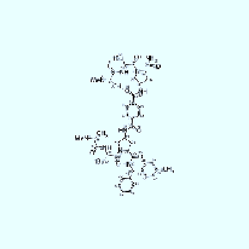 CN[C@@H](C)C(=O)N[C@H](C(=O)N1C[C@@H](NC(=O)c2ccc(C(=O)N[C@H]3C[C@@H](C(=O)N[C@H](c4ccccc4)c4ccc(C)cc4)N(C(=O)[C@@H](NC(=O)[C@H](C)NC)C(C)(C)C)C3)cc2)C[C@H]1C(N)=O)C(C)(C)C